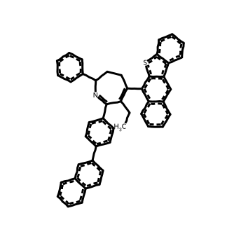 CCC1=C(c2c3ccccc3cc3c2sc2ccccc23)CCC(c2ccccc2)N=C1c1ccc(-c2ccc3ccccc3c2)cc1